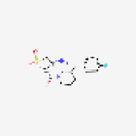 N[C@@H]1CS(=O)(=O)C[C@H]1C(=O)N1CCCC(Cc2ccc(F)cc2)C1